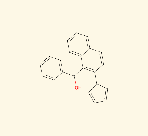 OC(c1ccccc1)c1c(C2C=CC=C2)ccc2ccccc12